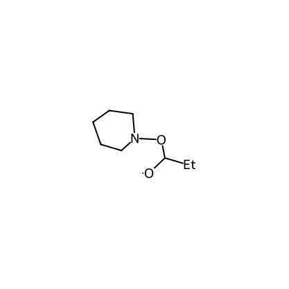 CCC([O])ON1CCCCC1